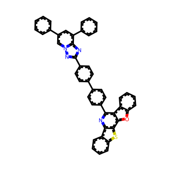 c1ccc(-c2cc(-c3ccccc3)c3nc(-c4ccc(-c5ccc(-c6nc7c8ccccc8sc7c7oc8ccccc8c67)cc5)cc4)nn3c2)cc1